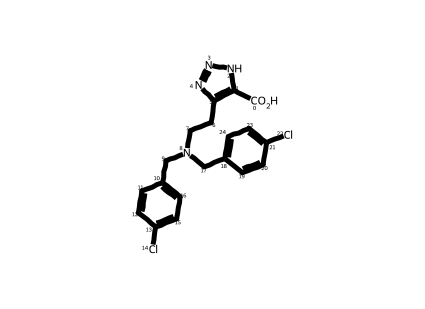 O=C(O)c1[nH]nnc1CCN(Cc1ccc(Cl)cc1)Cc1ccc(Cl)cc1